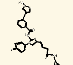 Cn1cc(-c2cccc(C(=O)Nc3nc(CCCC(=O)NC4CC4)cn3-c3ccc(F)cc3)c2)cn1